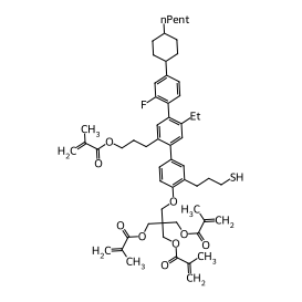 C=C(C)C(=O)OCCCc1cc(-c2ccc(C3CCC(CCCCC)CC3)cc2F)c(CC)cc1-c1ccc(OCC(COC(=O)C(=C)C)(COC(=O)C(=C)C)COC(=O)C(=C)C)c(CCCS)c1